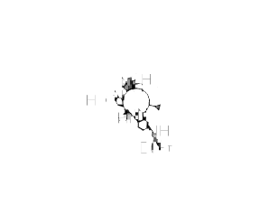 CCN(CC)CCNc1ccc2c(c1)N1CC(C3CC3)CCCOc3c(cnn3C)-c3cc(cc(C)n3)C(=O)/N=C/1N2